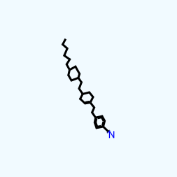 CCCCCCC1CCC(CCC2CC=C(CCc3ccc(C#N)cc3)CC2)CC1